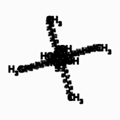 CCCCCCCCCCCCC(CC(CC(CCCCCCCCCCCC)C(O)=S)(CC(CCCCCCCCCCCC)C(O)=S)CC(CCCCCCCCCCCC)C(O)=S)C(O)=S